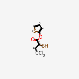 O=C(Oc1cccs1)C(S)CC(Cl)(Cl)Cl